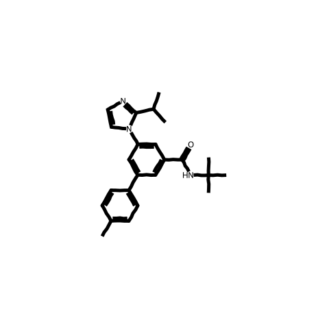 Cc1ccc(-c2cc(C(=O)NC(C)(C)C)cc(-n3ccnc3C(C)C)c2)cc1